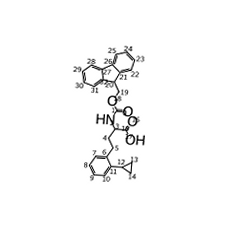 O=C(NC(CCc1ccccc1C1CC1)C(=O)O)OCC1c2ccccc2-c2ccccc21